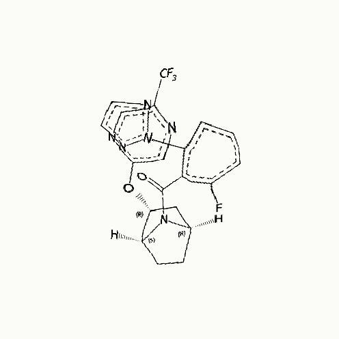 O=C(c1c(F)cccc1-n1nccn1)N1[C@@H]2CC[C@H]1[C@H](Oc1cnc(C(F)(F)F)cn1)C2